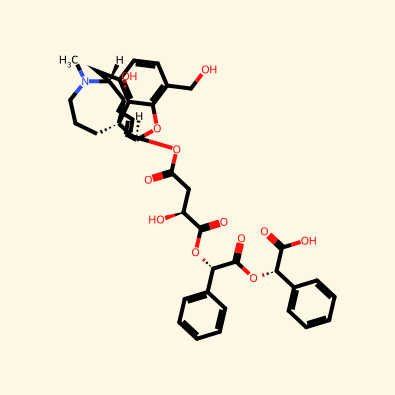 CN1CCC[C@]23c4c5ccc(CO)c4O[C@H]2C(OC(=O)C[C@H](O)C(=O)O[C@H](C(=O)O[C@H](C(=O)O)c2ccccc2)c2ccccc2)=CC[C@@]3(O)[C@H]1C5